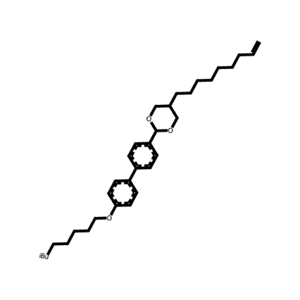 C=CCCCCCCCC1COC(c2ccc(-c3ccc(OCCCCCC(C)CC)cc3)cc2)OC1